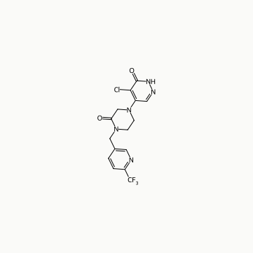 O=C1CN(c2cn[nH]c(=O)c2Cl)CCN1Cc1ccc(C(F)(F)F)nc1